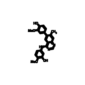 COc1ccc(Nc2ncnc3cc(C)c(-c4ccc(O)c(OC)c4)cc23)cc1O